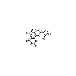 O=C1NCCN1c1ccc(S(=O)(=O)O)c(-c2cc(F)cc(F)c2)c1